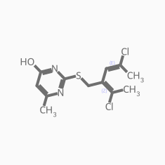 C/C(Cl)=C(\C=C(/C)Cl)CSc1nc(C)cc(O)n1